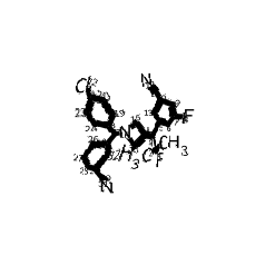 CC(C)(F)[C@H](c1cc(F)cc(C#N)c1)C1CN(C(c2ccc(Cl)cc2)c2cccc(C#N)c2)C1